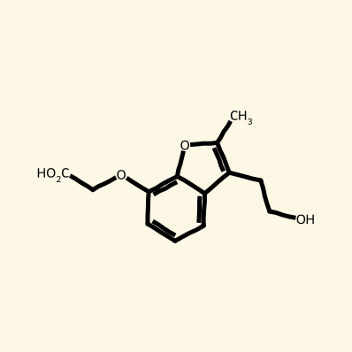 Cc1oc2c(OCC(=O)O)cccc2c1CCO